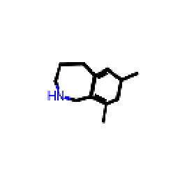 CC1=C2CNCCCC2=CC(C)C1